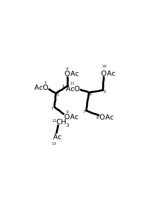 CC(=O)OCC(COC(C)=O)OC(C)=O.CC(=O)OCC(COC(C)=O)OC(C)=O.CC(C)=O